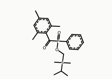 Cc1cc(C)c(C(=O)P(=O)(OCS(C)(C)C(C)C)c2ccccc2)c(C)c1